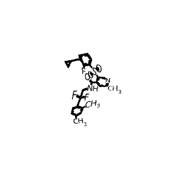 Cc1ccc(C(F)(F)CNC(=O)c2cc(C)ncc2S(=O)(=O)c2cccc(C3CC3)c2F)c(C)c1